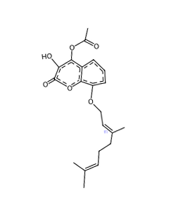 CC(=O)Oc1c(O)c(=O)oc2c(OC/C=C(\C)CCC=C(C)C)cccc12